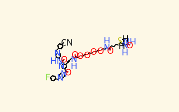 N#Cc1ccc(CN2CCC(NC(=O)c3ncc(C(=O)N4CCN(Cc5ccc(F)cc5)CC4)cc3C#CCNC(=O)COCCOCCOCCOCCNC(=O)CCCC[C@@H]3SC[C@@H]4NC(=O)N[C@@H]43)CC2)cc1